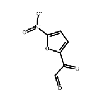 O=CC(=O)c1ccc([N+](=O)[O-])o1